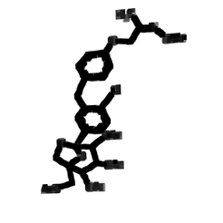 CO/N=C(/C)COc1ccc(Cc2cc([C@]34OCC(COC(C)=O)(O3)C(OC(C)=O)C(OC(C)=O)C4OC(C)=O)ccc2Cl)cc1